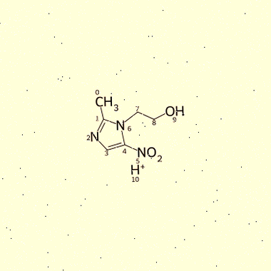 Cc1ncc([N+](=O)[O-])n1CCO.[H+]